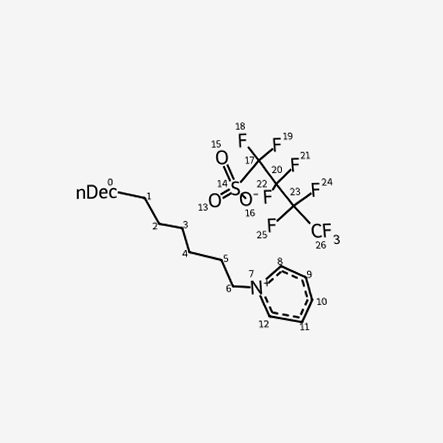 CCCCCCCCCCCCCCCC[n+]1ccccc1.O=S(=O)([O-])C(F)(F)C(F)(F)C(F)(F)C(F)(F)F